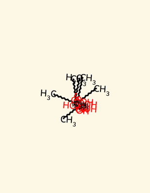 CCCCCCCCCCCCO[C@@]1(CCCCCCCCCCCC)[C@@](CCCCCCCCCCCC)(O[C@@]2(CCCCCCCCCCCC)[C@H](O)[C@@H](O)[C@H](O)O[C@@H]2CO)O[C@H](CO)[C@@H](O)[C@]1(CCCCCCCCCCCC)OCCCCCCCCCCCC